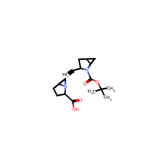 C#CC1CC2CC2N1C(=O)OC(C)(C)C.O=C(O)C1CCC2CN21